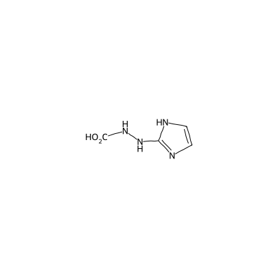 O=C(O)NNc1ncc[nH]1